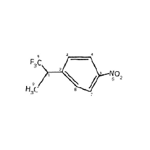 C[C](c1ccc([N+](=O)[O-])cc1)C(F)(F)F